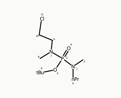 CCCN(C)P(=O)(OC(C)(C)C)N(C)CCCl